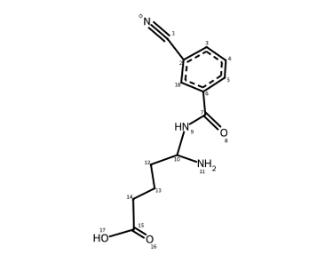 N#Cc1cccc(C(=O)NC(N)CCCC(=O)O)c1